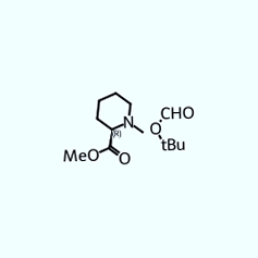 CC(C)(C)OC=O.COC(=O)[C@H]1CCCCN1C